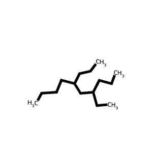 CCCCC(CCC)CC(CC)CCC